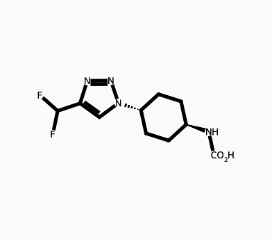 O=C(O)N[C@H]1CC[C@H](n2cc(C(F)F)nn2)CC1